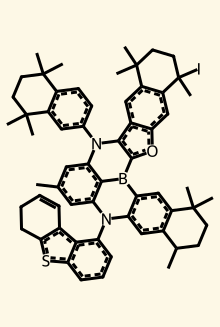 Cc1cc2c3c(c1)N(c1cccc4sc5c(c14)C=CCC5)c1cc4c(cc1B3c1oc3cc5c(cc3c1N2c1ccc2c(c1)C(C)(C)CCC2(C)C)C(C)(C)CCC5(C)I)C(C)(C)CCC4C